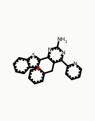 Nc1nc(-c2ccccn2)c(Cc2ccccc2)c(-c2cc3ccccc3s2)n1